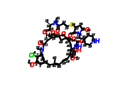 COc1cc2cc(c1Cl)N(C)C(=O)C[C@H](OC(=O)[C@H](C)N(C)C(=O)CCSC1CC(=O)N(CC3CCNCC3)C1=O)[C@@]1(C)CC(C)(O1)C1C[C@@](O)(NC(=O)O1)[C@H](OC)/C=C/C=C(\C)C2